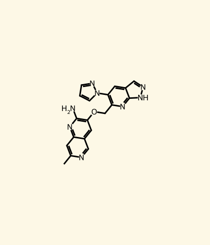 Cc1cc2nc(N)c(OCc3nc4[nH]ncc4cc3-n3cccn3)cc2cn1